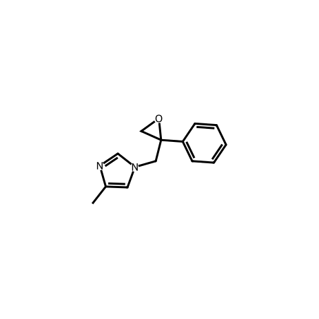 Cc1cn(CC2(c3ccccc3)CO2)cn1